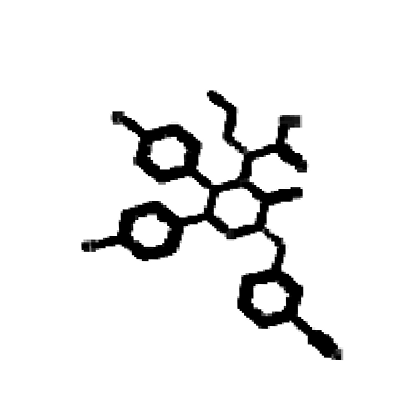 CCC[C@H](C(=O)O)N1C(=O)[C@H](Cc2cccc(C#N)c2)O[C@@H](c2ccc(Cl)cc2)[C@H]1c1ccc(Cl)cc1